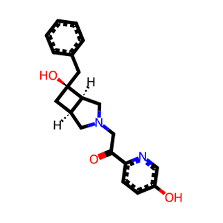 O=C(CN1C[C@H]2C[C@](O)(Cc3ccccc3)[C@H]2C1)c1ccc(O)cn1